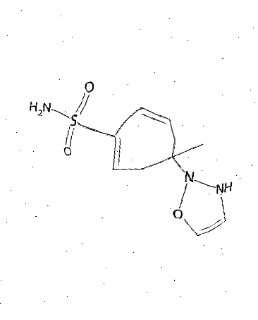 CC1(N2NC=CO2)C=CC(S(N)(=O)=O)=CC1